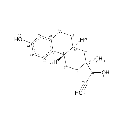 C#C[C@H](O)[C@@]1(C)CC[C@@H]2c3ccc(O)cc3CC[C@H]2C1